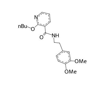 CCCCOc1ncccc1C(=O)NCCc1ccc(OC)c(OC)c1